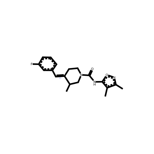 Cc1noc(NC(=O)N2CC/C(=C\c3cccc(F)c3)C(C)C2)c1C